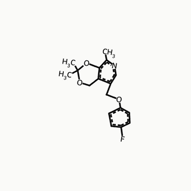 Cc1ncc(COc2ccc(F)cc2)c2c1OC(C)(C)OC2